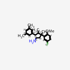 COc1ccc(F)cc1C(C)(CCN)C(C)Cc1cc(C)cc(C)c1